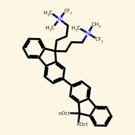 CCCCCCCCC1(CCCCCCCC)c2ccccc2-c2ccc(-c3ccc4c(c3)C(CCC[N+](C)(C)C(F)(F)F)(CCC[N+](C)(C)C(F)(F)F)c3ccccc3-4)cc21